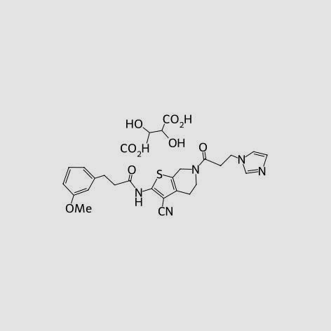 COc1cccc(CCC(=O)Nc2sc3c(c2C#N)CCN(C(=O)CCn2ccnc2)C3)c1.O=C(O)C(O)C(O)C(=O)O